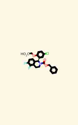 O=C(O)COc1ccc(Cl)cc1[C@@H]1c2ccc(F)c(F)c2CCN1C(=O)OCc1ccccc1